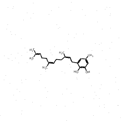 CC(C)=CCCC(C)=CCCC(C)=CCc1cc(C)cc(O)c1O